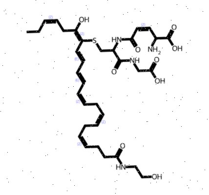 CC/C=C\C\C(O)=C(/C=C/C=C/C=C\C/C=C\C/C=C\CCC(=O)NCCO)SCC(NC(=O)/C=C\C(N)C(=O)O)C(=O)NCC(=O)O